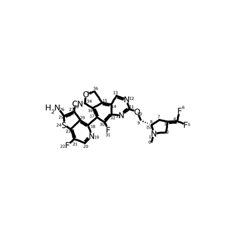 CN1CC(=C(F)F)C[C@H]1COc1ncc2c3c(c(-c4ncc(F)c5sc(N)c(C#N)c45)c(F)c2n1)COC3